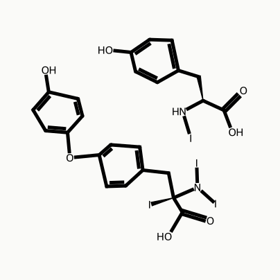 O=C(O)[C@H](Cc1ccc(O)cc1)NI.O=C(O)[C@](I)(Cc1ccc(Oc2ccc(O)cc2)cc1)N(I)I